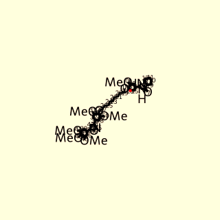 COc1cc(C2NC(=O)c3ccccc3N2)ccc1OCCCCCCCCCOc1c(OC)cc(C2=NOC(c3cc(OC)c(OC)c(OC)c3)C2)cc1OC